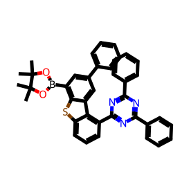 CC1(C)OB(c2cc(-c3ccccc3)cc3c2sc2cccc(-c4nc(-c5ccccc5)nc(-c5ccccc5)n4)c23)OC1(C)C